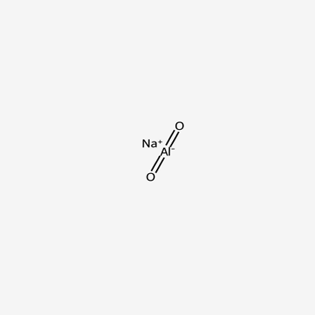 [Na+].[O]=[Al-]=[O]